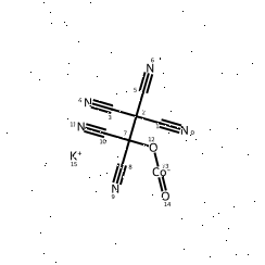 N#CC(C#N)(C#N)C(C#N)(C#N)[O][Co-]=[O].[K+]